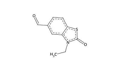 CCn1c(=O)sc2ccc(C=O)cc21